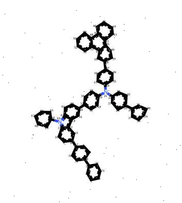 c1ccc(-c2ccc(-c3ccc4c(c3)c3cc(-c5ccc(N(c6ccc(-c7ccccc7)cc6)c6ccc(-c7ccc8c9ccccc9c9ccccc9c8c7)cc6)cc5)ccc3n4-c3ccccc3)cc2)cc1